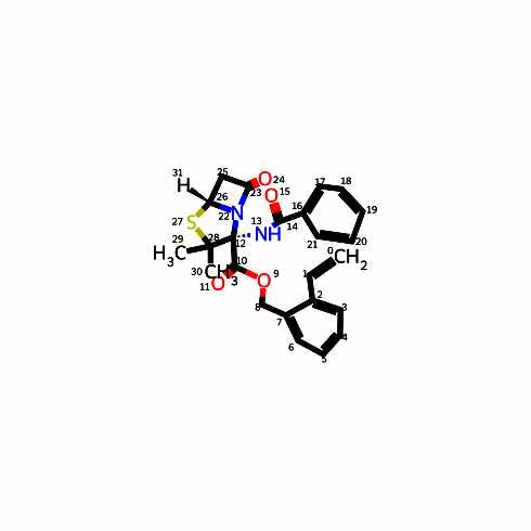 C=Cc1ccccc1COC(=O)[C@]1(NC(=O)c2ccccc2)N2C(=O)C[C@H]2SC1(C)C